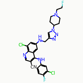 N#Cc1cnc2c(Cl)cc(NCc3cn(C4CCN(CCF)CC4)nn3)cc2c1Nc1ccc(F)c(Cl)c1